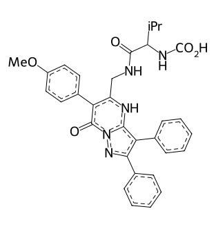 COc1ccc(-c2c(CNC(=O)C(NC(=O)O)C(C)C)[nH]c3c(-c4ccccc4)c(-c4ccccc4)nn3c2=O)cc1